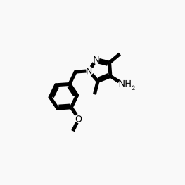 COc1cccc(Cn2nc(C)c(N)c2C)c1